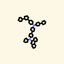 C1=Cc2cc(N(c3ccccc3)c3ccc(-c4ccc(N(c5ccc(-c6ccccc6)cc5)c5ccc(-c6cccc(-c7ccccc7)c6)cc5)cc4)cc3)c3ccccc3c2CC1